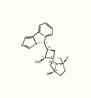 CN1[C@@H]2CC[C@H]1C[C@]1(C[C@H]([C@H]3c4ccccc4-c4cncn43)[C@@H]1O)C2